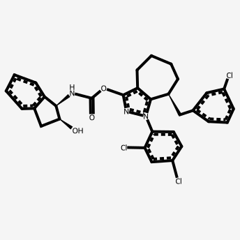 O=C(N[C@@H]1c2ccccc2C[C@@H]1O)Oc1nn(-c2ccc(Cl)cc2Cl)c2c1CCCC[C@H]2Cc1cccc(Cl)c1